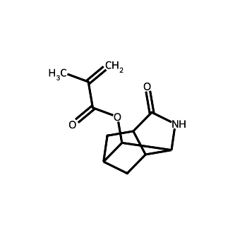 C=C(C)C(=O)OC1C2CC3C(=O)NC1C3C2